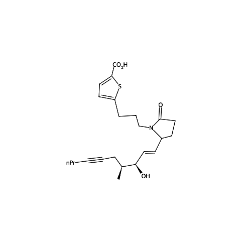 CCCC#CC[C@H](C)[C@H](O)C=CC1CCC(=O)N1CCCc1ccc(C(=O)O)s1